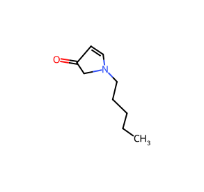 CCCCCN1C=CC(=O)C1